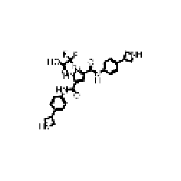 O=C(Nc1ccc(C2CNC2)cc1)c1cc(C(=O)Nc2ccc(C3CNC3)cc2)[nH]n1.O=C(O)C(F)(F)F